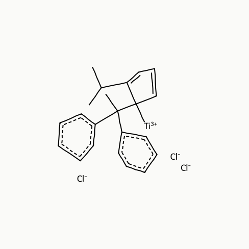 CC(C)C1=CC=C[C]1([Ti+3])C(C)(c1ccccc1)c1ccccc1.[Cl-].[Cl-].[Cl-]